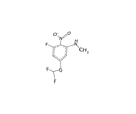 CNc1cc(OC(F)F)cc(F)c1[N+](=O)[O-]